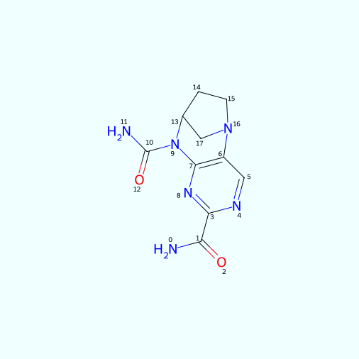 NC(=O)c1ncc2c(n1)N(C(N)=O)C1CCN2C1